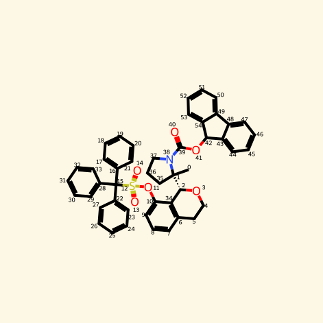 CC1([C@@H]2OCCc3cccc(OS(=O)(=O)C(c4ccccc4)(c4ccccc4)c4ccccc4)c32)CCCN1C(=O)OC1c2ccccc2-c2ccccc21